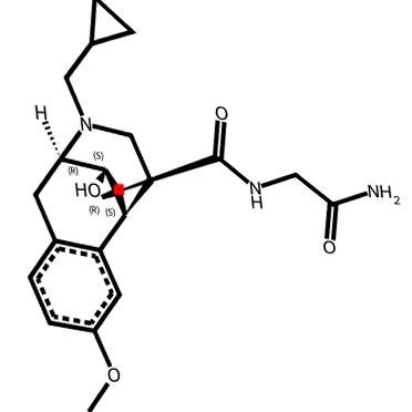 COc1ccc2c(c1)[C@]13CCN(CC4CC4)[C@H](C2)[C@]1(O)C[C@H](C(=O)NCC(N)=O)C3